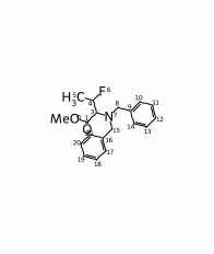 COC(=O)C(C(C)F)N(Cc1ccccc1)Cc1ccccc1